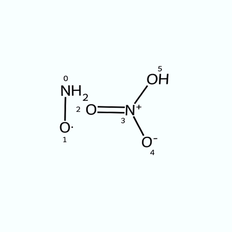 N[O].O=[N+]([O-])O